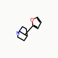 c1coc(C2CN3CCC2CC3)c1